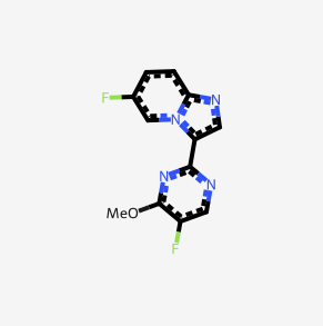 COc1nc(-c2cnc3ccc(F)cn23)ncc1F